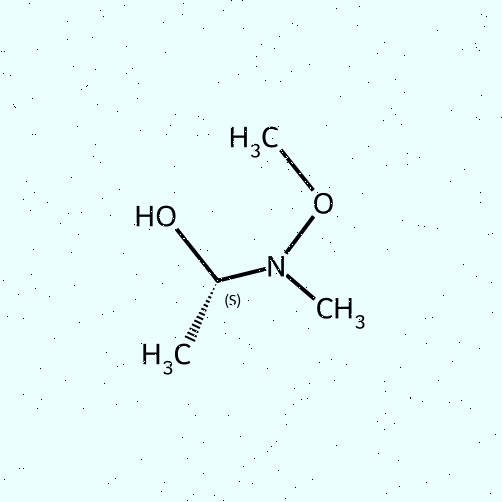 CON(C)[C@H](C)O